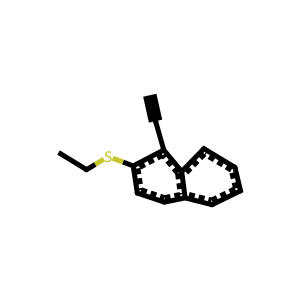 C#Cc1c(SCC)ccc2ccccc12